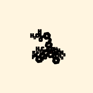 CNC(=O)c1cccc(CN2CCN(c3c(C)n(Cc4c(F)cccc4C(F)(F)F)c(=O)n(CC(c4ccccc4)N(C(=O)O)C(C)(C)C)c3=O)CC2)c1